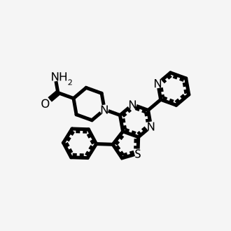 NC(=O)C1CCN(c2nc(-c3ccccn3)nc3scc(-c4ccccc4)c23)CC1